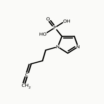 C=C=CCCn1cncc1P(=O)(O)O